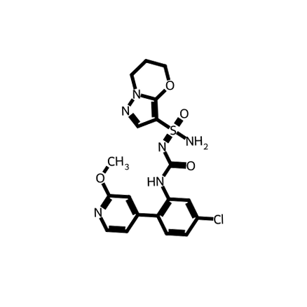 COc1cc(-c2ccc(Cl)cc2NC(=O)N=S(N)(=O)c2cnn3c2OCCC3)ccn1